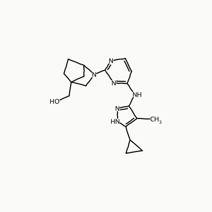 Cc1c(Nc2ccnc(N3CC4(CO)CCC3C4)n2)n[nH]c1C1CC1